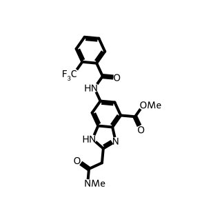 CNC(=O)Cc1nc2c(C(=O)OC)cc(NC(=O)c3ccccc3C(F)(F)F)cc2[nH]1